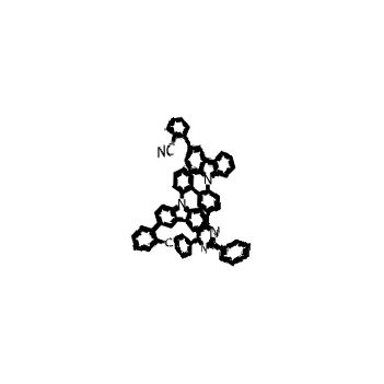 N#Cc1ccccc1-c1ccc2c(c1)c1ccccc1n2-c1ccccc1-c1cc(-c2cc(-c3ccccc3)nc(-c3ccccc3)n2)ccc1-n1c2ccccc2c2cc(-c3ccccc3C#N)ccc21